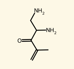 C=C(C)C(=O)C(N)CN